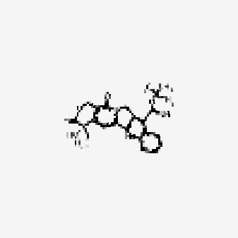 CC[C@@]1(O)C(=O)OCc2c1cc1n(c2=O)Cc2c-1nc1ccccc1c2C(=N)OC(C)(C)C